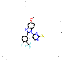 COc1ccc2c(c1)nc(-c1ccc(F)c(C(F)(F)F)c1)n2-c1ccnc(SC)n1